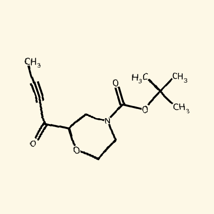 CC#CC(=O)C1CN(C(=O)OC(C)(C)C)CCO1